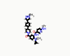 CC(C)Nc1ccc(C(=O)Nc2cc(C(=O)N3CCC(c4ccc(-c5cnn(C)c5)cc4)CC3)ccc2N(C)C2CC2)cn1